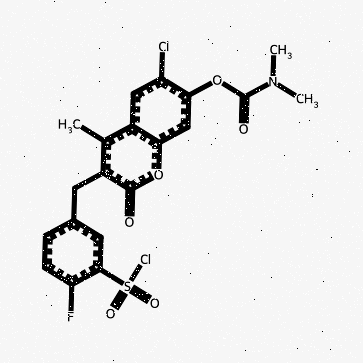 Cc1c(Cc2ccc(F)c(S(=O)(=O)Cl)c2)c(=O)oc2cc(OC(=O)N(C)C)c(Cl)cc12